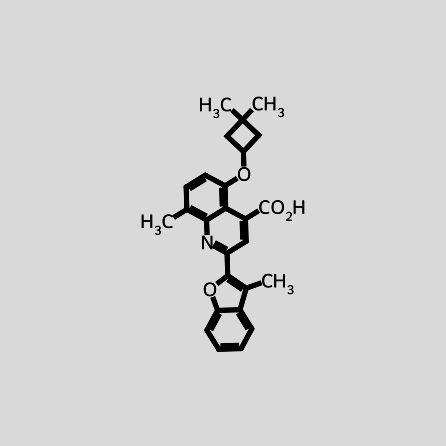 Cc1c(-c2cc(C(=O)O)c3c(OC4CC(C)(C)C4)ccc(C)c3n2)oc2ccccc12